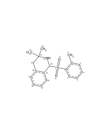 Cc1ccccc1S(=O)(=O)C1NC(C)(C)Cc2ccccc21